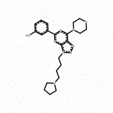 Oc1cccc(-c2nc(N3CCOCC3)c3nnn(CCCCN4CCCC4)c3n2)c1